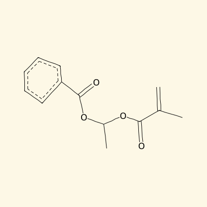 C=C(C)C(=O)OC(C)OC(=O)c1ccccc1